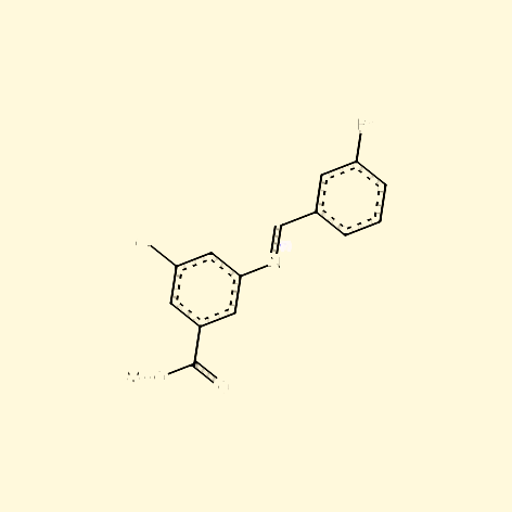 COC(=O)c1cc(Cl)cc(/N=C/c2cccc(Br)c2)c1